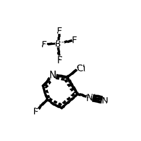 F[B-](F)(F)F.N#[N+]c1cc(F)cnc1Cl